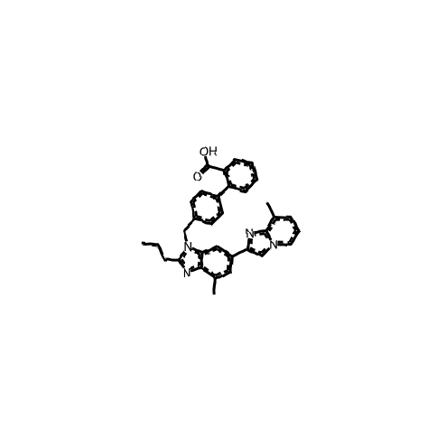 CCCc1nc2c(C)cc(-c3cn4cccc(C)c4n3)cc2n1Cc1ccc(-c2ccccc2C(=O)O)cc1